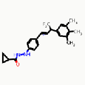 Cc1cc(C(/C=C/c2ccc(NNC(=O)C3CC3)cc2)C(F)(F)F)cc(C)c1C